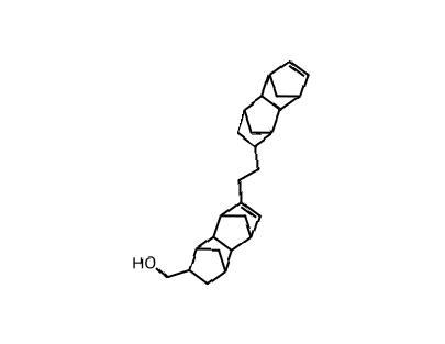 OCC1CC2CC1C1C3CC(C=C3CCC3CC4CC3C3C5C=CC(C5)C43)C21